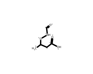 CC(CC(=O)O)ONC=O